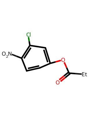 CCC(=O)Oc1ccc([N+](=O)[O-])c(Cl)c1